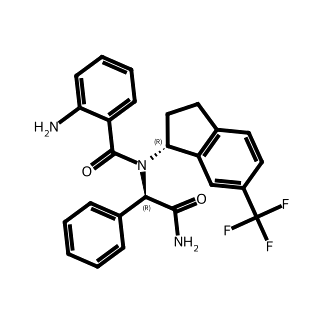 NC(=O)[C@@H](c1ccccc1)N(C(=O)c1ccccc1N)[C@@H]1CCc2ccc(C(F)(F)F)cc21